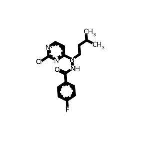 CC(C)CCN(NC(=O)c1ccc(F)cc1)c1ccnc(Cl)n1